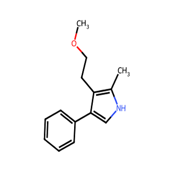 COCCc1c(-c2ccccc2)c[nH]c1C